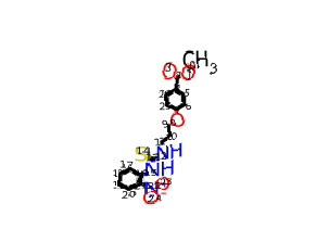 COC(=O)c1ccc(OCCCNC(=S)Nc2ccccc2[N+](=O)[O-])cc1